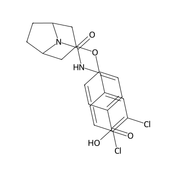 O=C(O)c1ccc(OC2CC3CCC(C2)N3C(=O)NCc2ccc(Cl)c(Cl)c2)cc1